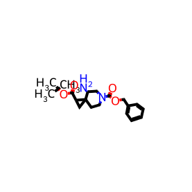 CC(C)(C)OC(=O)C1CC12CCN(C(=O)OCc1ccccc1)CC2N